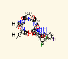 C[C@@H]1C[C@H]2C(=O)O[C@H](C)[C@H](NC(=O)[C@H](Cc3cc(F)cc(F)c3)NC(=O)Nc3ccc(I)cc3)C(=O)N3CCC[C@H]3C(=O)N3CCCC[C@H]3C(=O)N[C@@H](C)C(=O)N2C1